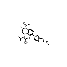 COCCn1cc(-c2ccc3c(c2)[C@H](N(C(=O)O)C(C)C)C[C@H](C)N3C(C)=O)cn1